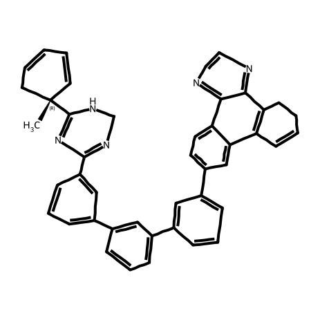 C[C@]1(C2=NC(c3cccc(-c4cccc(-c5cccc(-c6ccc7c(c6)c6c(c8nccnc87)CCC=C6)c5)c4)c3)=NCN2)C=CC=CC1